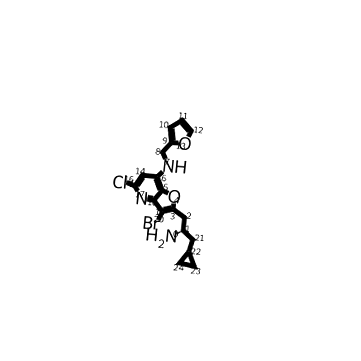 N[C@H](Cc1oc2c(NCc3ccco3)cc(Cl)nc2c1Br)CC1CC1